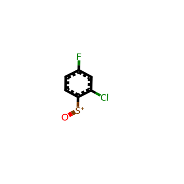 O=[S+]c1ccc(F)cc1Cl